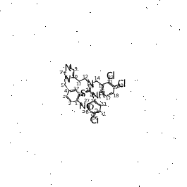 O=[N+]([O-])c1ccc(Cn2cncc2CCN(Cc2cccc(Cl)c2Cl)C(=S)Nc2ccc(Cl)cc2)cc1